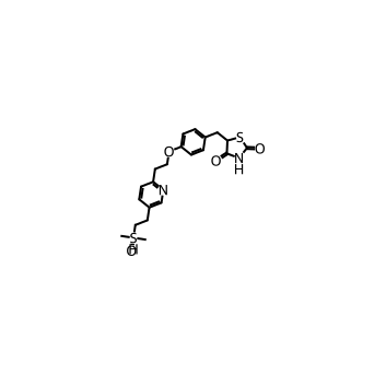 C[SH](C)(=O)CCc1ccc(CCOc2ccc(CC3SC(=O)NC3=O)cc2)nc1